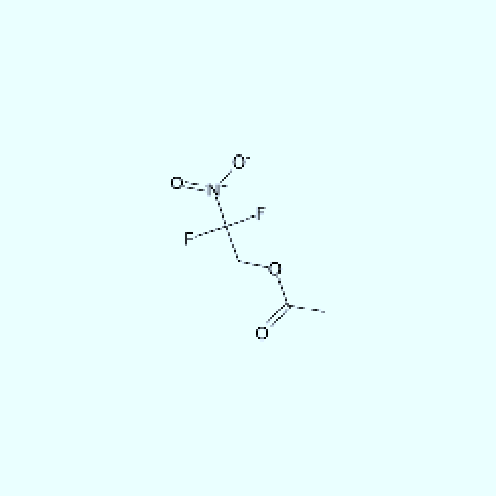 CC(=O)OCC(F)(F)[N+](=O)[O-]